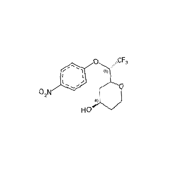 O=[N+]([O-])c1ccc(O[C@@H](C2C[C@H](O)CCO2)C(F)(F)F)cc1